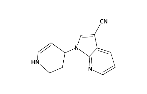 N#Cc1cn(C2C=CNCC2)c2ncccc12